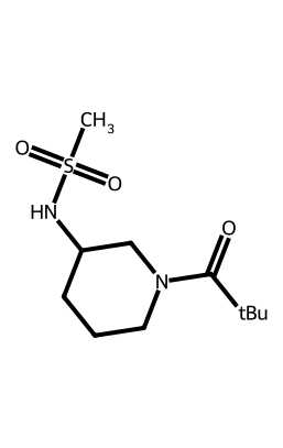 CC(C)(C)C(=O)N1CCCC(NS(C)(=O)=O)C1